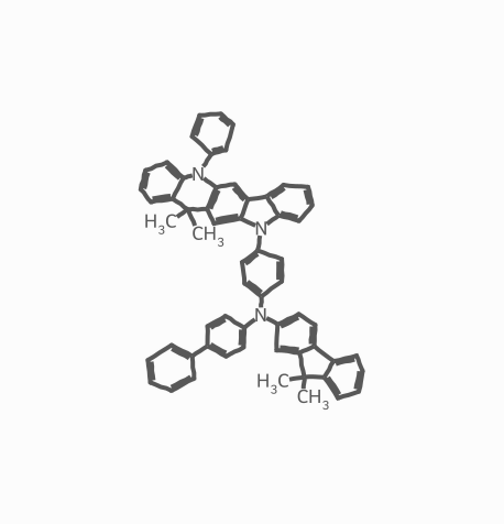 CC1(C)c2ccccc2-c2ccc(N(c3ccc(-c4ccccc4)cc3)c3ccc(-n4c5ccccc5c5cc6c(cc54)C(C)(C)c4ccccc4N6c4ccccc4)cc3)cc21